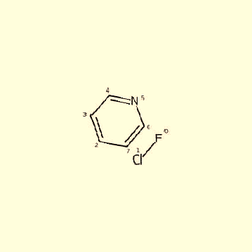 FCl.c1ccncc1